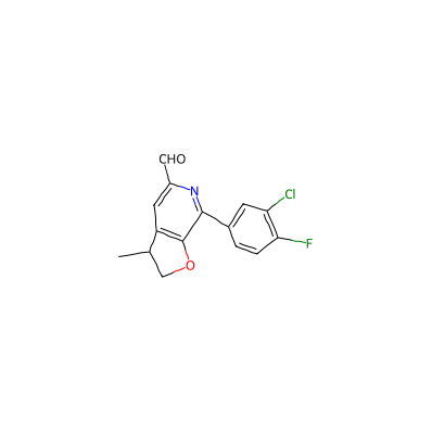 CC1COc2c1cc(C=O)nc2-c1ccc(F)c(Cl)c1